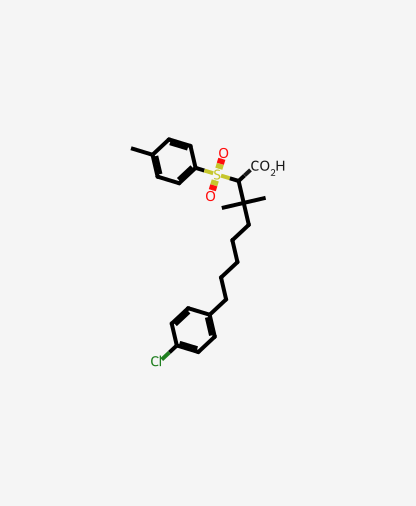 Cc1ccc(S(=O)(=O)C(C(=O)O)C(C)(C)CCCCCc2ccc(Cl)cc2)cc1